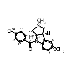 Cc1ccc2c(c1)[C@@H]1CN(C)C[C@@H]1N2C(=O)c1ccc(Cl)cc1